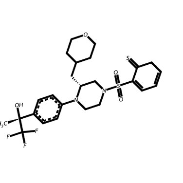 C[C@@](O)(c1ccc(N2CCN(S(=O)(=O)C3=CC=CCC3=S)C[C@H]2CC2CCOCC2)cc1)C(F)(F)F